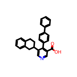 O=C(O)c1cncc(C2CCc3ccccc3C2)c1-c1ccc(-c2ccccc2)cc1